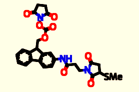 CSC1CC(=O)N(CCC(=O)Nc2ccc3c(c2)C(COC(=O)ON2C(=O)CCC2=O)c2ccccc2-3)C1=O